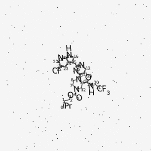 CC(C)CCOC(=O)N1CCN(c2ccnc(-c3c[nH]c4ncc(Cl)cc34)n2)[C@@H](C(=O)NCC(F)(F)F)C1